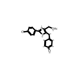 CC(=O)OCc1nc(-c2ccc(Cl)cc2)sc1Cc1ccc(Cl)cc1